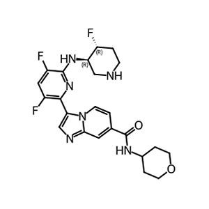 O=C(NC1CCOCC1)c1ccn2c(-c3nc(N[C@@H]4CNCC[C@H]4F)c(F)cc3F)cnc2c1